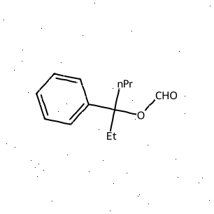 CCCC(CC)(OC=O)c1ccccc1